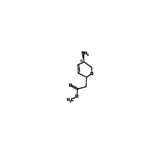 COC(=O)CC1C=C[C@@H](N)CO1